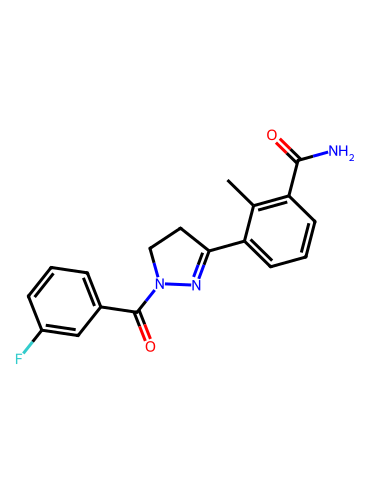 Cc1c(C(N)=O)cccc1C1=NN(C(=O)c2cccc(F)c2)CC1